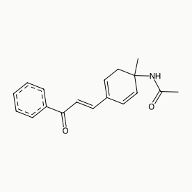 CC(=O)NC1(C)C=CC(C=CC(=O)c2ccccc2)=CC1